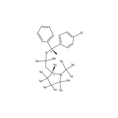 [2H]C([2H])(C[C@]1([2H])N(C([2H])([2H])[2H])C([2H])([2H])C([2H])([2H])C1([2H])[2H])O[C@](C)(c1ccccc1)c1ccc(Cl)cc1